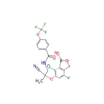 CC(C#N)(CNC(=O)c1ccc(OC(F)(F)F)cc1)Oc1cc(F)c2c(c1Cl)B(O)OC2